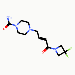 NC(=O)N1CCN(C/C=C/C(=O)N2CC(F)(F)C2)CC1